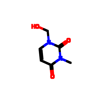 Cn1c(=O)ccn(CO)c1=O